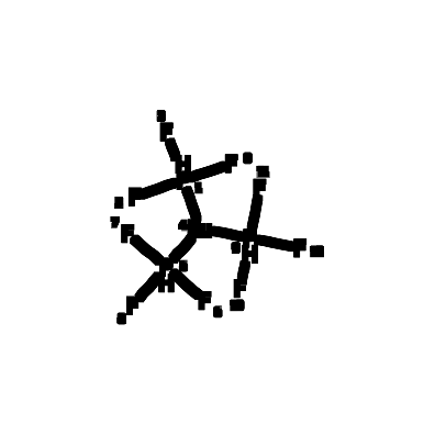 F[PH](F)(F)[Ru]([PH](F)(F)F)[PH](F)(F)F